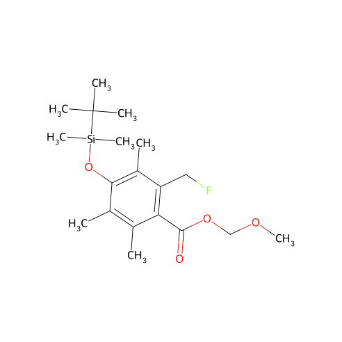 COCOC(=O)c1c(C)c(C)c(O[Si](C)(C)C(C)(C)C)c(C)c1CF